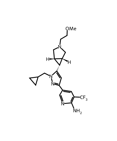 COCCN1C[C@@H]2[C@H](C1)[C@@H]2c1cc(-c2cnc(N)c(C(F)(F)F)c2)nn1CC1CC1